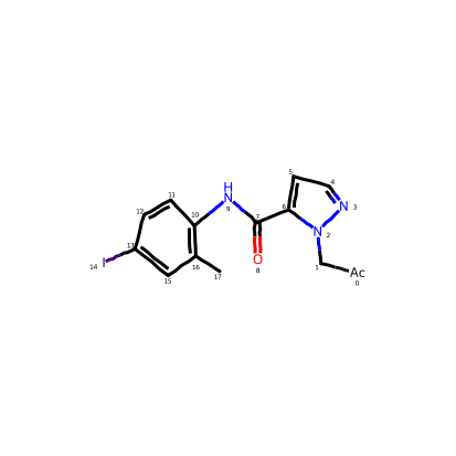 CC(=O)Cn1nccc1C(=O)Nc1ccc(I)cc1C